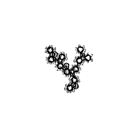 c1ccc(-n2c3ccccc3c3cc(-c4ccc5c(c4)c4c6oc7c(ccc8c7c7ccccc7n8-c7cccc8c7oc7ccccc78)c6ccc4n5-c4ccc5oc6ccccc6c5c4)ccc32)cc1